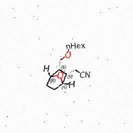 CCCCCCOC[C@@H]1[C@H](CC#N)[C@@H]2CC[C@H]1O2